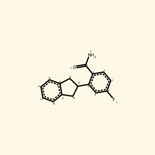 NC(=O)c1ccc(F)cc1C1Cc2ccccc2C1